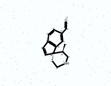 C[C@H]1CNCC[C@@]12C=Cc1ccc(C=O)cc12